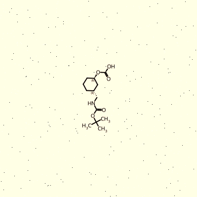 CC(C)(C)OC(=O)NC[C@@H]1CCC[C@@H](OC(=O)O)C1